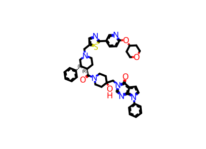 O=C([C@@H]1CCN(Cc2cnc(-c3ccc(OC4CCOCC4)nc3)s2)C[C@H]1c1ccccc1)N1CCC(O)(Cn2cnc3c(ccn3-c3ccccc3)c2=O)CC1